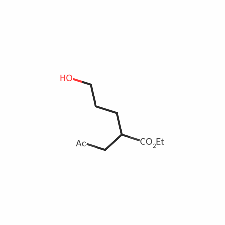 CCOC(=O)C(CCCO)CC(C)=O